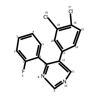 Fc1ccccc1-c1n[c]ncc1-c1ccc(Cl)c(Cl)c1